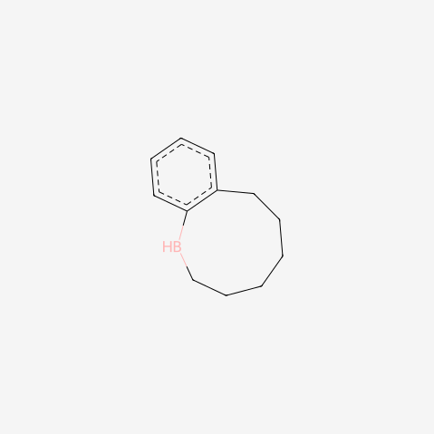 B1CCCCCCc2ccccc21